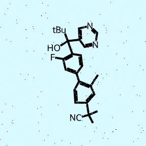 Cc1cc(C(C)(C)C#N)ccc1-c1ccc(C(O)(c2cncnc2)C(C)(C)C)c(F)c1